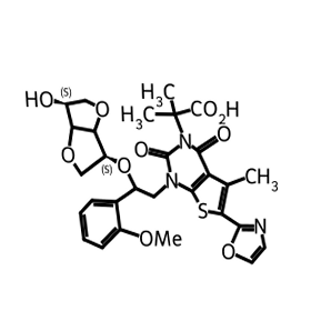 COc1ccccc1C(Cn1c(=O)n(C(C)(C)C(=O)O)c(=O)c2c(C)c(-c3ncco3)sc21)O[C@H]1COC2C1OC[C@@H]2O